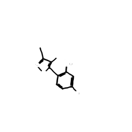 COc1cc(Br)ccc1-c1onc(C)c1C(=O)O